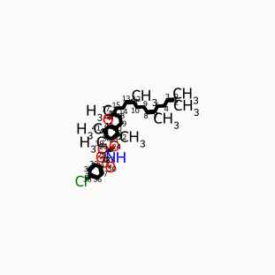 CC(C)=CCCC(C)=CCCC(C)=CCC[C@]1(C)CCc2c(C)c(OC(=O)NS(=O)(=O)c3ccc(Cl)cc3)c(C)c(C)c2O1